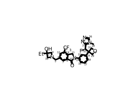 CCC1(O)CN(Cc2cc3c(c(C(F)(F)F)c2)CN(c2cccc(C4([C@@H](F)c5nncn5C)COC4)c2)C3=O)C1